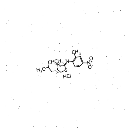 Cc1cc([N+](=O)[O-])ccc1N=C1SC[C@H](CC(C)C)N1C.Cl